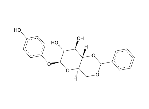 Oc1ccc(O[C@@H]2O[C@@H]3COC(c4ccccc4)O[C@H]3[C@H](O)[C@H]2O)cc1